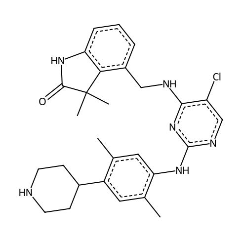 Cc1cc(C2CCNCC2)c(C)cc1Nc1ncc(Cl)c(NCc2cccc3c2C(C)(C)C(=O)N3)n1